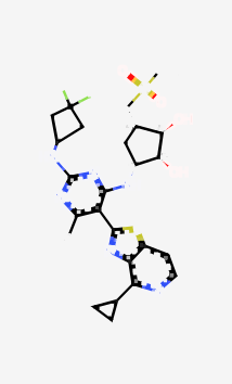 Cc1nc(NC2CC(F)(F)C2)nc(N[C@@H]2C[C@H](CS(C)(=O)=O)[C@@H](O)[C@H]2O)c1-c1nc2c(C3CC3)nccc2s1